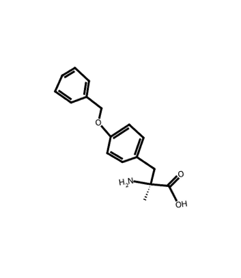 C[C@](N)(Cc1ccc(OCc2ccccc2)cc1)C(=O)O